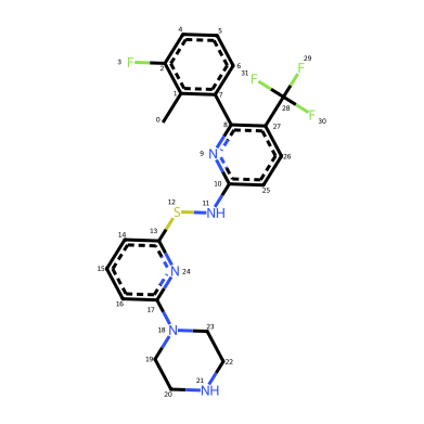 Cc1c(F)cccc1-c1nc(NSc2cccc(N3CCNCC3)n2)ccc1C(F)(F)F